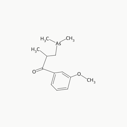 COc1cccc(C(=O)C(C)C[As](C)C)c1